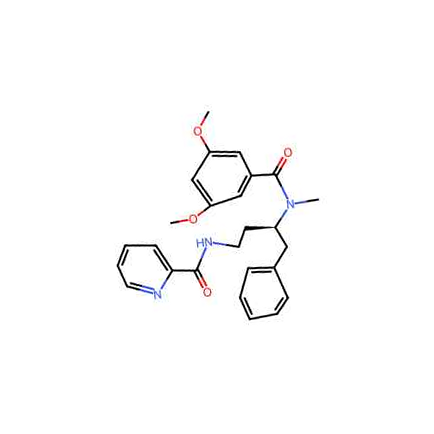 COc1cc(OC)cc(C(=O)N(C)[C@H](CCNC(=O)c2ccccn2)Cc2ccccc2)c1